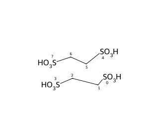 O=S(=O)(O)CCS(=O)(=O)O.O=S(=O)(O)CCS(=O)(=O)O